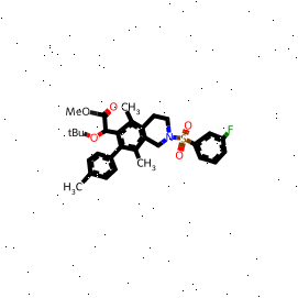 COC(=O)C(OC(C)(C)C)c1c(C)c2c(c(C)c1-c1ccc(C)cc1)CN(S(=O)(=O)c1cccc(F)c1)CC2